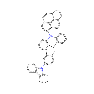 Cc1ccc(-n2c3ccccc3c3ccccc32)cc1-c1cccc2c1Cc1ccccc1N2c1ccc2c3c4c(ccc13)C=CCC4C=C2